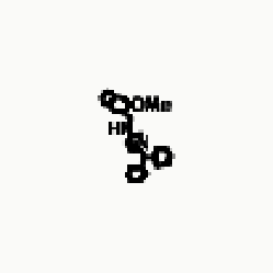 COc1cc2c(cc1CNC1CN3CCC1CC3C(c1ccccc1)c1ccccc1)CCC2